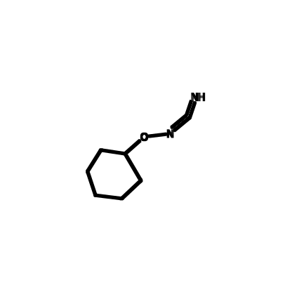 N=C=NOC1CCCCC1